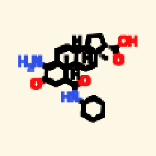 C[C@]12CC[C@H]3[C@@H](C=CC4=C(N)C(=O)CC(C(=O)NC5CCCCC5)[C@@]43C)[C@@H]1CC[C@@H]2C(=O)O